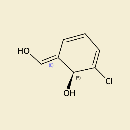 O/C=C1\C=CC=C(Cl)[C@H]1O